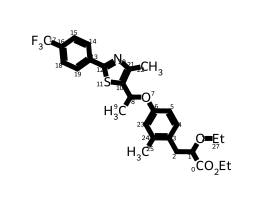 CCOC(=O)C(Cc1ccc(OC(C)c2sc(-c3ccc(C(F)(F)F)cc3)nc2C)cc1C)OCC